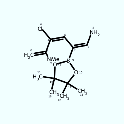 C=C(NC)/C(Cl)=C\C(=C/N)B1OC(C)(C)C(C)(C)O1